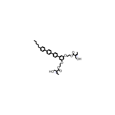 C/C=C(/CO)C(=O)OCCOc1cc(OCCOC(=O)/C(=C\C)CO)cc(-c2ccc(-c3ccc(-c4ccc(CCCCC)cc4)cc3)cc2)c1